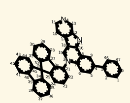 c1ccc(-c2ccc3c(c2)c2nc4cnccc4c-2cn3-c2cccc3c2-c2ccccc2C32c3ccccc3-c3ccccc32)cc1